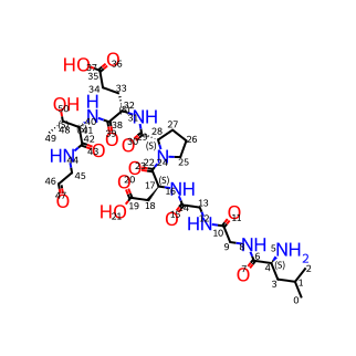 CC(C)C[C@H](N)C(=O)NCC(=O)NCC(=O)N[C@@H](CC(=O)O)C(=O)N1CCC[C@H]1C(=O)N[C@@H](CCC(=O)O)C(=O)N[C@H](C(=O)NCC=O)[C@H](C)O